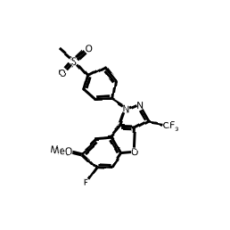 COc1cc2c(cc1F)oc1c(C(F)(F)F)nn(-c3ccc(S(C)(=O)=O)cc3)c12